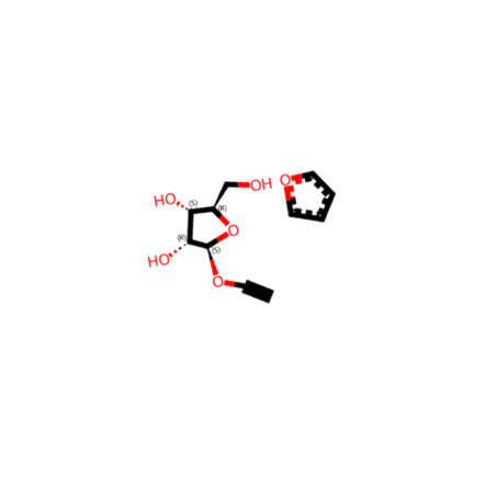 C#CO[C@@H]1O[C@H](CO)[C@@H](O)[C@H]1O.c1ccoc1